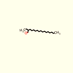 CCCCCCCCCCCCCCCC([C]=O)CC